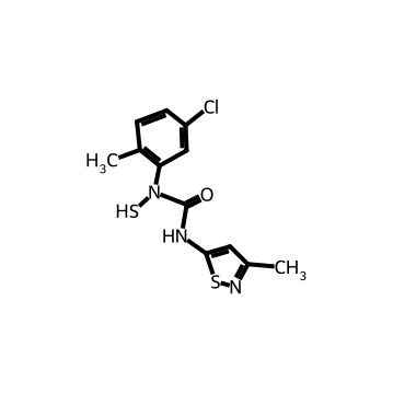 Cc1cc(NC(=O)N(S)c2cc(Cl)ccc2C)sn1